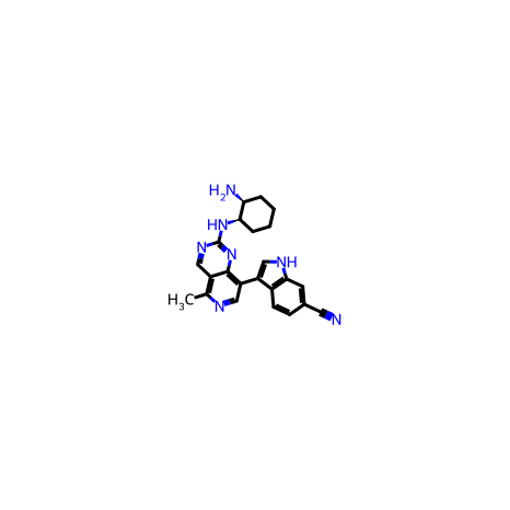 Cc1ncc(-c2c[nH]c3cc(C#N)ccc23)c2nc(N[C@@H]3CCCC[C@@H]3N)ncc12